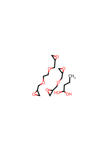 C(COCC1CO1)OCC1CO1.C(OCC1CO1)C1CO1.CCCC(O)O